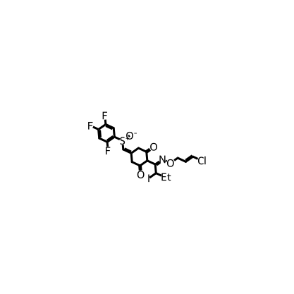 CCC(I)C(=NOCC=CCl)C1C(=O)CC(=C[S+]([O-])c2cc(F)c(F)cc2F)CC1=O